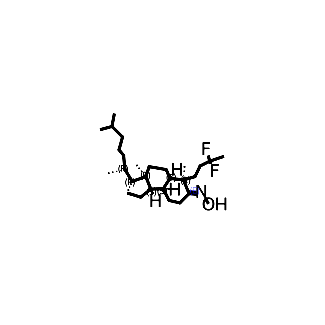 CC(C)CCC[C@@H](C)[C@H]1CC[C@H]2[C@@H]3CC/C(=N\O)[C@](C)(CCC(C)(F)F)[C@H]3CC[C@]12C